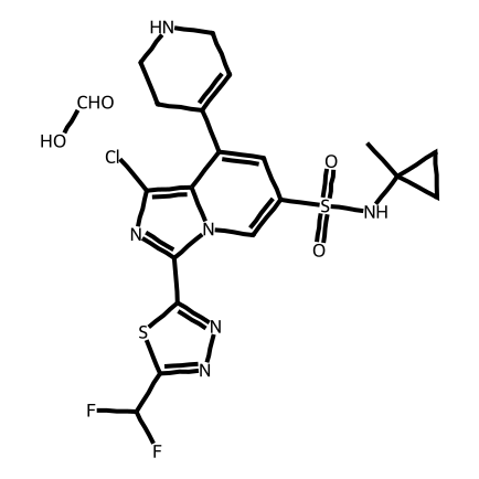 CC1(NS(=O)(=O)c2cc(C3=CCNCC3)c3c(Cl)nc(-c4nnc(C(F)F)s4)n3c2)CC1.O=CO